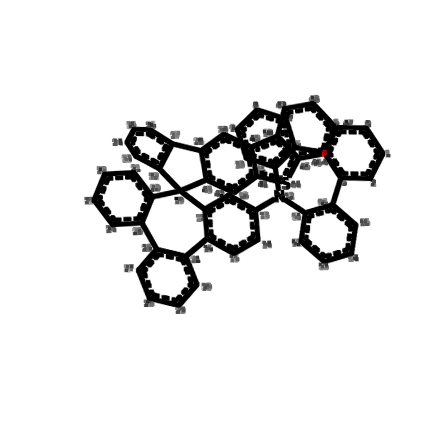 c1ccc2c(c1)-c1ccccc1N(c1ccc3c(c1)C1(c4ccccc4-c4ccccc4-3)c3ccccc3-c3cc4c(cc31)sc1ccccc14)c1ccccc1-2